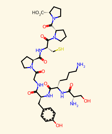 NCCCC[C@H](NC(=O)[C@@H](N)CO)C(=O)N[C@@H](Cc1ccc(O)cc1)C(=O)NCC(=O)N1CCC[C@H]1C(=O)N[C@@H](CS)C(=O)N1CCC[C@H]1C(=O)N1CCC[C@H]1C(=O)O